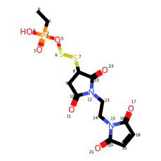 CCP(=O)(O)OSSC1CC(=O)N(CCN2C(=O)C=CC2=O)C1=O